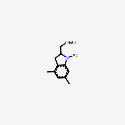 COCC1Cc2c(C)cc(C)cc2N1C(C)=O